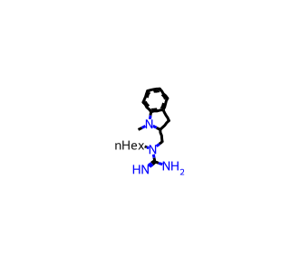 CCCCCCN(CC1Cc2ccccc2N1C)C(=N)N